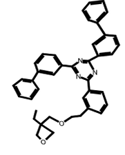 CCC1(COCCc2cccc(-c3nc(-c4cccc(-c5ccccc5)c4)nc(-c4cccc(-c5ccccc5)c4)n3)c2)COC1